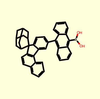 OB(O)c1c2ccccc2c(-c2ccc3c(c2)-c2c(ccc4ccccc24)C32C3CC4CC(C3)CC2C4)c2ccccc12